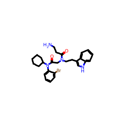 NCCC(=O)N(CCc1c[nH]c2ccccc12)CC(=O)N(c1ccccc1Br)C1CCCCC1